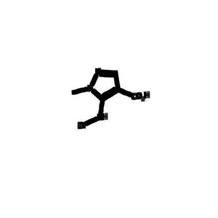 CCNc1c(C(=O)O)cnn1C